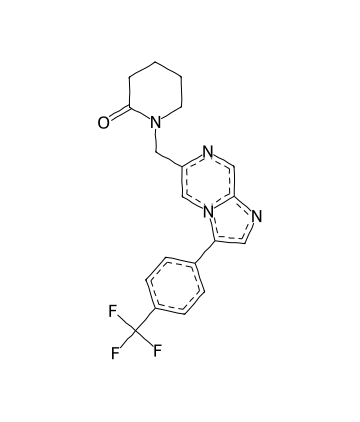 O=C1CCCCN1Cc1cn2c(-c3ccc(C(F)(F)F)cc3)cnc2cn1